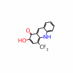 O=c1c(O)cc(C(F)(F)F)c2[nH]c3ccccc3cc1-2